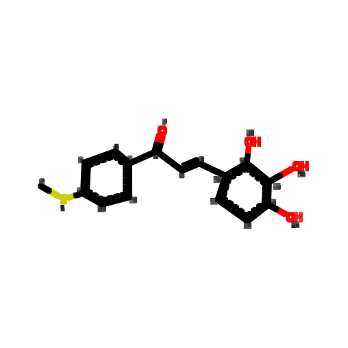 CSc1ccc(C(=O)C=Cc2ccc(O)c(O)c2O)cc1